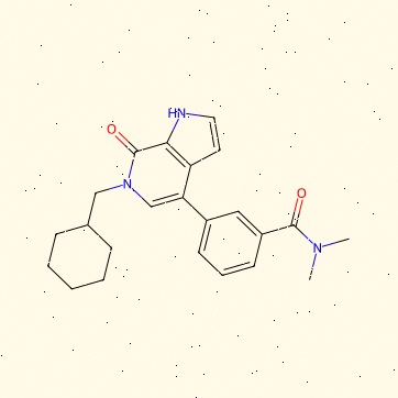 CN(C)C(=O)c1cccc(-c2cn(CC3CCCCC3)c(=O)c3[nH]ccc23)c1